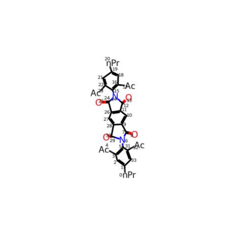 CCCc1cc(C(C)=O)c(-n2c(=O)c3cc4c(=O)n(-c5c(C(C)=O)cc(CCC)cc5C(C)=O)c(=O)c4cc3c2=O)c(C(C)=O)c1